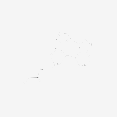 C=CC(=O)NCc1cccc(-c2ncnc3[nH]cc(-c4ncco4)c23)c1